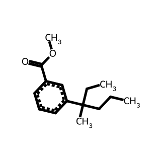 CCCC(C)(CC)c1cccc(C(=O)OC)c1